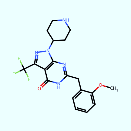 COc1ccccc1Cc1nc2c(c(C(F)(F)F)nn2C2CCNCC2)c(=O)[nH]1